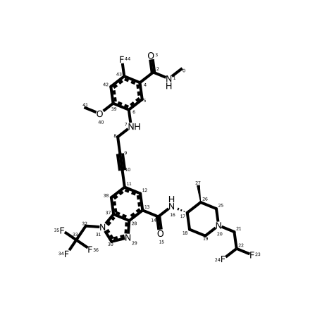 CNC(=O)c1cc(NCC#Cc2cc(C(=O)N[C@H]3CCN(CC(F)F)C[C@@H]3C)c3ncn(CC(F)(F)F)c3c2)c(OC)cc1F